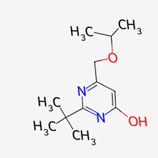 CC(C)OCc1cc(O)nc(C(C)(C)C)n1